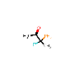 CC(=O)C(C)(F)P